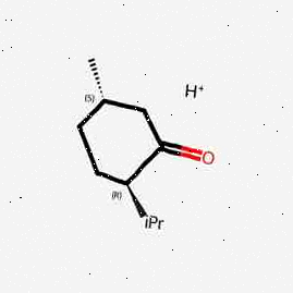 CC(C)[C@H]1CC[C@H](C)CC1=O.[H+]